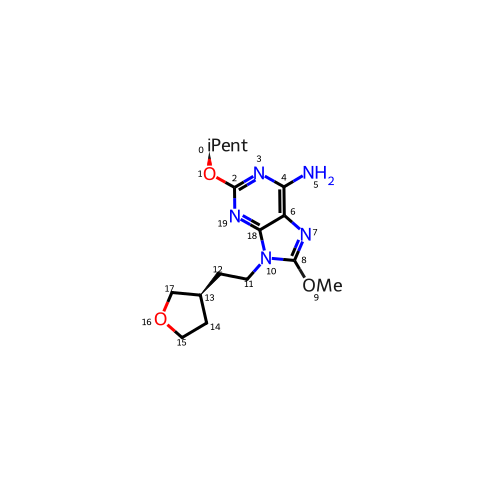 CCC[C@H](C)Oc1nc(N)c2nc(OC)n(CC[C@H]3CCOC3)c2n1